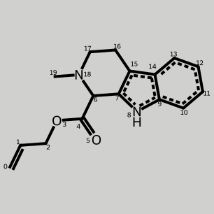 C=CCOC(=O)C1c2[nH]c3ccccc3c2CCN1C